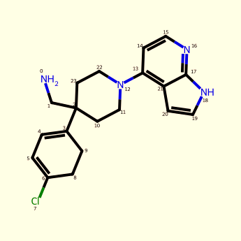 NCC1(C2=CC=C(Cl)CC2)CCN(c2ccnc3[nH]ccc23)CC1